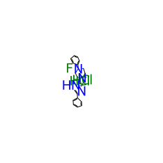 Cl.Cl.Fc1ccccc1N1CCN(Cc2nc(-c3ccccc3)c[nH]2)CC1